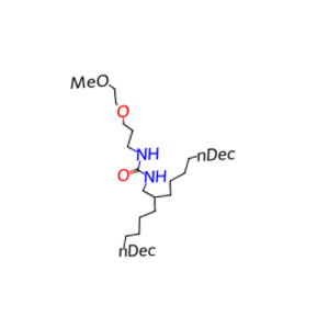 CCCCCCCCCCCCCCC(CCCCCCCCCCCCCC)CNC(=O)NCCCOCCOC